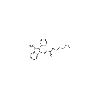 CCCCOC(=O)/C=C/c1c(-c2ccccc2)n(C)c2ccccc12